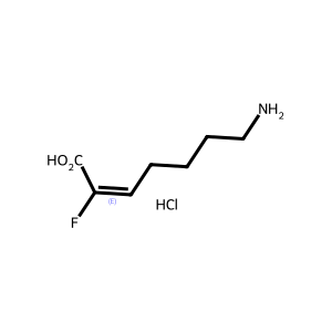 Cl.NCCCC/C=C(/F)C(=O)O